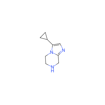 c1nc2n(c1C1CC1)CCNC2